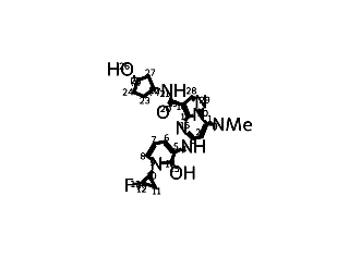 CNc1cc(NC2=CC=CN(C3C[C@H]3F)C2O)nc2c(C(=O)N[C@@H]3CC[C@H](O)C3)cnn12